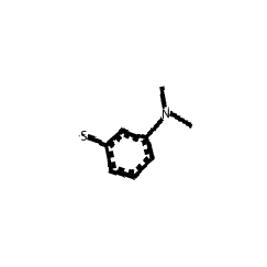 CN(C)c1cccc([S])c1